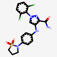 NC(=O)c1nn(-c2c(Cl)cccc2Cl)cc1Nc1ccc(N2CCCS2(=O)=O)cc1